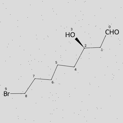 O=CC[C@H](O)CCCCCBr